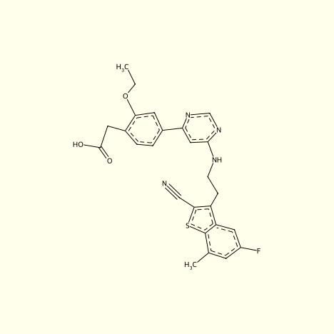 CCOc1cc(-c2cc(NCCc3c(C#N)sc4c(C)cc(F)cc34)ncn2)ccc1CC(=O)O